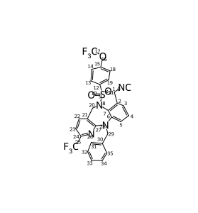 [C-]#[N+]Cc1cccc2c1N(S(=O)(=O)c1ccc(OC(F)(F)F)cc1)Cc1ccc(C(F)(F)F)nc1N2Cc1ccccc1